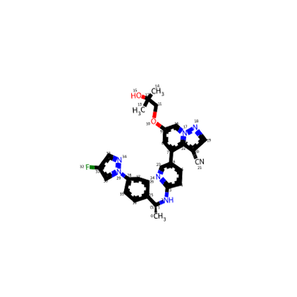 C[C@H](Nc1ccc(-c2cc(OCC(C)(C)O)cn3ncc(C#N)c23)cn1)c1ccc(-n2cc(F)cn2)cc1